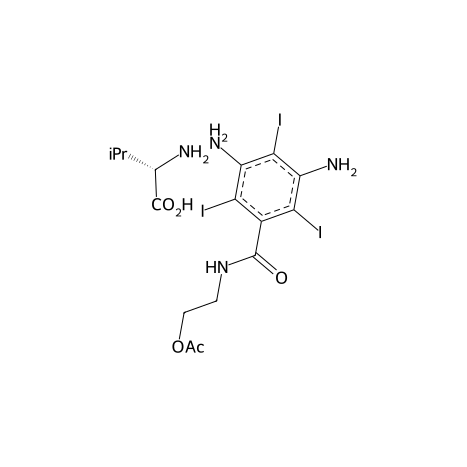 CC(=O)OCCNC(=O)c1c(I)c(N)c(I)c(N)c1I.CC(C)[C@H](N)C(=O)O